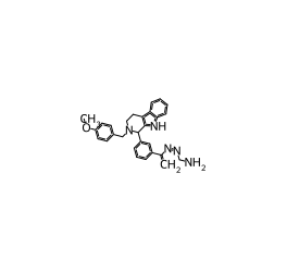 C=C(/N=N\CN)c1cccc(C2c3[nH]c4ccccc4c3CCN2Cc2ccc(OC)cc2)c1